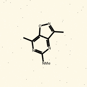 CNc1nc(C)c2onc(C)c2n1